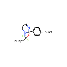 CCCCCCCCc1ccc(C2(OC(F)(F)CCCCCCC)N=CC=CN2)cc1